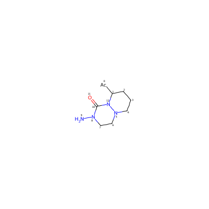 CC(=O)C1CCCN2CCN(N)C(=O)N12